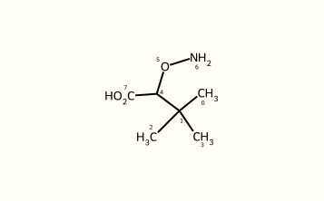 CC(C)(C)C(ON)C(=O)O